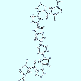 COC(=O)N[C@H](C(=O)N1CCCC1c1nc(-c2nc3cc(-c4ccc(-c5cnc([C@@H]6CCCN6C(=O)[C@@H](NC(=O)OC)C(C)C)[nH]5)cc4)[nH]c3s2)c[nH]1)C(C)C